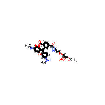 C/N=c1\ccc2c(-c3cc(C(=O)NCCCOCC(O)COC)ccc3C(=O)O)c3ccc(NC)cc3oc-2c1